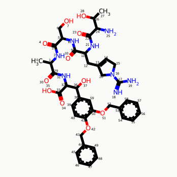 CC(NC(=O)C(CO)NC(=O)C(CC1=CCN(C(=N)N)C1)NC(=O)C(N)C(C)O)C(=O)NC(C(=O)O)C(O)c1ccc(OCc2ccccc2)c(OCc2ccccc2)c1